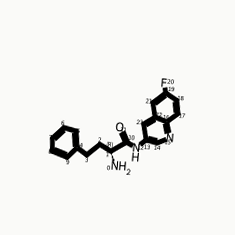 N[C@H](CCc1ccccc1)C(=O)Nc1cnc2ccc(F)cc2c1